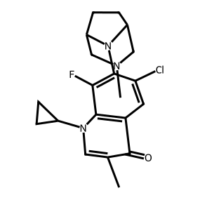 Cc1cn(C2CC2)c2c(F)c(N3C4CCC3CN(C)C4)c(Cl)cc2c1=O